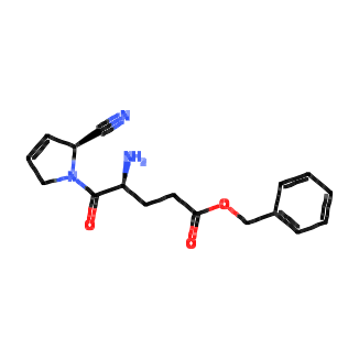 N#C[C@@H]1C=CCN1C(=O)[C@@H](N)CCC(=O)OCc1ccccc1